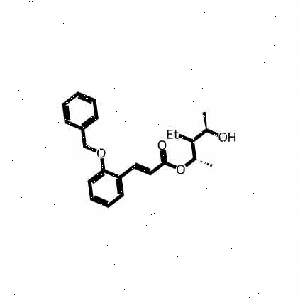 CCC([C@H](C)OC(=O)C=Cc1ccccc1OCc1ccccc1)[C@@H](C)O